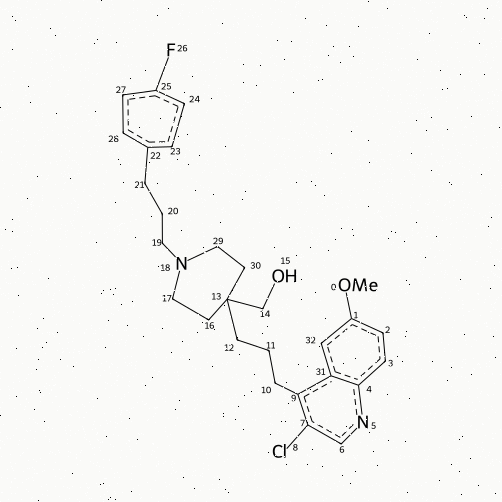 COc1ccc2ncc(Cl)c(CCCC3(CO)CCN(CCCc4ccc(F)cc4)CC3)c2c1